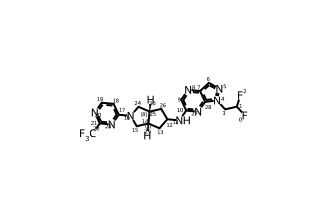 FC(F)Cn1ncc2ncc(NC3C[C@@H]4CN(c5ccnc(C(F)(F)F)n5)C[C@@H]4C3)nc21